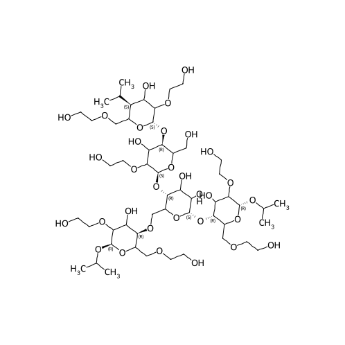 CC(C)O[C@@H]1OC(COCCO)[C@H](OCC2O[C@@H](O[C@H]3C(COCCO)O[C@@H](OC(C)C)C(OCCO)C3O)C(O)C(O)[C@H]2O[C@@H]2OC(CO)[C@H](O[C@@H]3OC(COCCO)[C@@H](C(C)C)C(O)C3OCCO)C(O)C2OCCO)C(O)C1OCCO